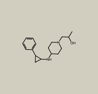 CC(O)CN1CCC(NC2CC2c2ccccc2)CC1